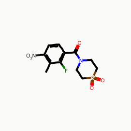 Cc1c([N+](=O)[O-])ccc(C(=O)N2CCS(=O)(=O)CC2)c1F